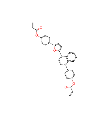 C=CC(=O)Oc1ccc(-c2ccc(-c3ccc(-c4ccc(OC(=O)C=C)cc4)c4ccccc34)o2)cc1